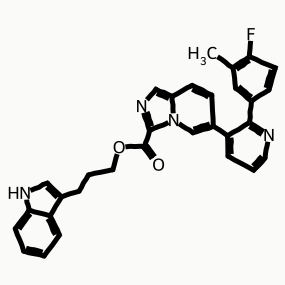 Cc1cc(-c2ncccc2-c2ccc3cnc(C(=O)OCCCc4c[nH]c5ccccc45)n3c2)ccc1F